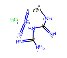 CCCCNC(=N)NC(=N)N.Cl.[N-]=[N+]=[N-]